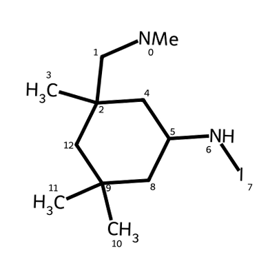 CNCC1(C)CC(NI)CC(C)(C)C1